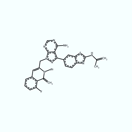 C=C(C)Nc1nc2ccc(-c3nn(CC4=Cc5cccc(F)c5C(=C)N4C(C)C)c4ncnc(N)c34)cc2s1